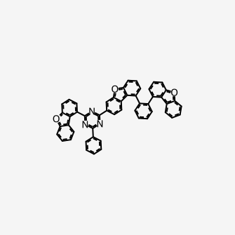 c1ccc(-c2nc(-c3ccc4c(c3)oc3cccc(-c5ccccc5-c5cccc6oc7ccccc7c56)c34)nc(-c3cccc4oc5ccccc5c34)n2)cc1